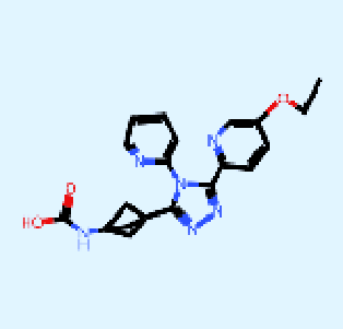 CCOc1ccc(-c2nnc(C34CC(NC(=O)O)(C3)C4)n2-c2ccccn2)nc1